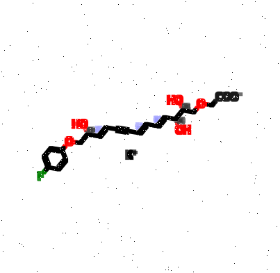 O=C([O-])COC[C@@H](O)[C@H](O)/C=C/C=C/C#C/C=C/[C@@H](O)COc1ccc(F)cc1.[K+]